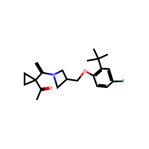 C=C(N1CC(COc2ccc(F)cc2C(C)(C)C)C1)C1(C(C)=O)CC1